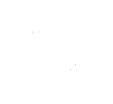 CCCCCCCCCCCCCCCCCC(C)OC